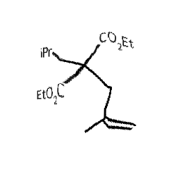 C=C(C)CC(C(=O)OCC)(C(=O)OCC)C(C)C